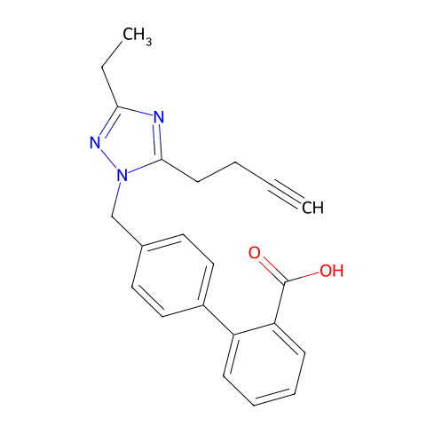 C#CCCc1nc(CC)nn1Cc1ccc(-c2ccccc2C(=O)O)cc1